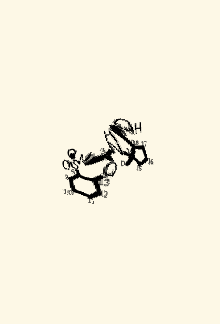 CC1(NC2=NS(=O)(=O)C3CCCCC3O2)CCCC1CO